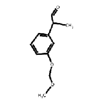 COCOc1cccc(C(C)C=O)c1